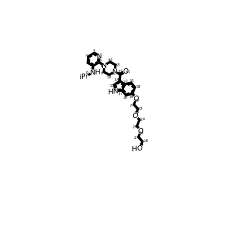 CC(C)Nc1cccnc1N1CCN(C(=O)c2c[nH]c3cc(OCCOCCOCCO)ccc23)CC1